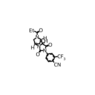 CCC(=O)N1C[C@@H]2C[C@H]1[C@@H]1C(=O)N(c3ccc(C#N)c(C(F)(F)F)c3)C(=O)N21